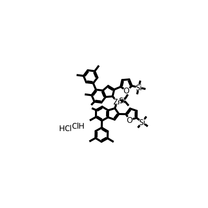 Cc1cc(C)cc(-c2c(C)c(C)cc3c2C=C(c2ccc([Si](C)(C)C)o2)[CH]3[Zr]([CH]2C(c3ccc([Si](C)(C)C)o3)=Cc3c2cc(C)c(C)c3-c2cc(C)cc(C)c2)=[Si](C)C)c1.Cl.Cl